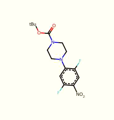 CC(C)(C)OC(=O)N1CCN(c2cc(F)c([N+](=O)[O-])cc2F)CC1